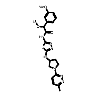 CCOC(C(=O)Nc1nnc(NC2CCN(c3ccc(C)nn3)C2)s1)c1cccc(OC)c1